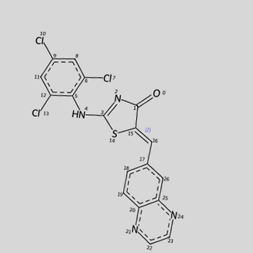 O=C1N=C(Nc2c(Cl)cc(Cl)cc2Cl)S/C1=C\c1ccc2nccnc2c1